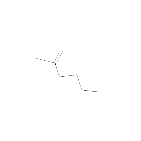 C=C(C)[C@@H](C)CCF